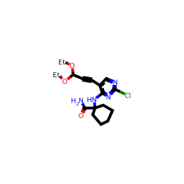 CCOC(C#Cc1cnc(Cl)nc1NC1(C(N)=O)CCCCC1)OCC